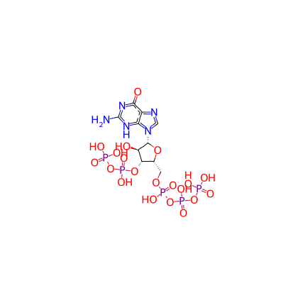 Nc1nc(=O)c2ncn([C@@H]3O[C@H](COP(=O)(O)OP(=O)(O)OP(=O)(O)O)[C@H](OP(=O)(O)OP(=O)(O)O)[C@H]3O)c2[nH]1